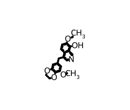 CCOc1ccc2c(Cc3cc(OC)c4c(c3)OCCO4)cncc2c1O